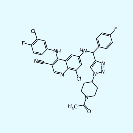 CC(=O)N1CCC(n2cc(C(Nc3cc(Cl)c4ncc(C#N)c(Nc5ccc(F)c(Cl)c5)c4c3)c3ccc(F)cc3)nn2)CC1